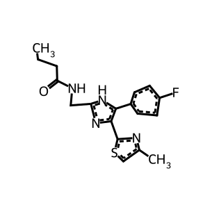 CCCC(=O)NCc1nc(-c2nc(C)cs2)c(-c2ccc(F)cc2)[nH]1